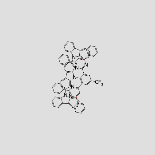 FC(F)(F)c1cc(-c2cc(-c3ccccc3)nc(-c3ccccc3)n2)c(-n2c3cc(-n4c5ccccc5c5ccccc54)ccc3c3ccc(-n4c5ccccc5c5ccccc54)cc32)c(-c2nc(-c3ccccc3)cc(-c3ccccc3)n2)c1